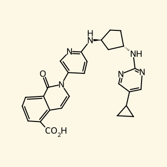 O=C(O)c1cccc2c(=O)n(-c3ccc(N[C@H]4CC[C@H](Nc5ncc(C6CC6)cn5)C4)nc3)ccc12